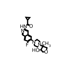 C[C@@]1(N2CCN(c3cc4cc(NC(=O)C5CC5)ncc4cc3F)CC2)COC[C@@H]1O